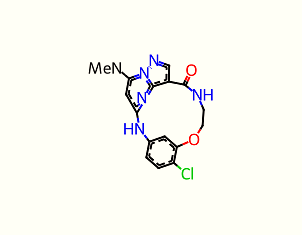 CNc1cc2nc3c(cnn13)C(=O)NCCOc1cc(ccc1Cl)N2